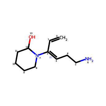 C=C/C(=C\CCN)N1CCCCC1O